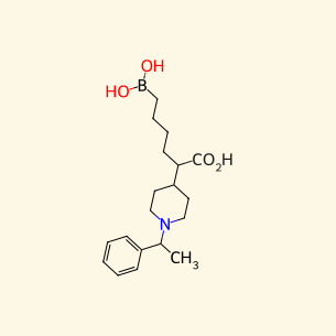 CC(c1ccccc1)N1CCC(C(CCCCB(O)O)C(=O)O)CC1